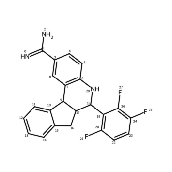 N=C(N)c1ccc2c(c1)C1c3ccccc3CC1C(c1c(F)ccc(F)c1F)N2